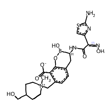 C[N+]1(Cc2ccc3c(c2C(=O)[O-])OB(O)[C@@H](NC(=O)/C(=N\O)c2csc(N)n2)C3)CCC(CO)CC1